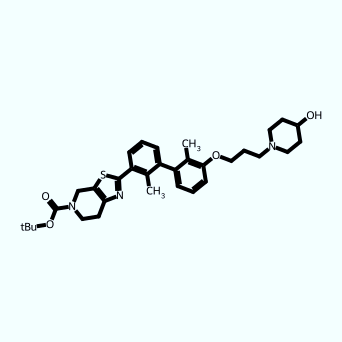 Cc1c(OCCCN2CCC(O)CC2)cccc1-c1cccc(-c2nc3c(s2)CN(C(=O)OC(C)(C)C)CC3)c1C